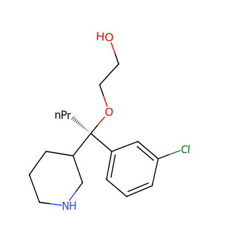 CCC[C@](OCCO)(c1cccc(Cl)c1)C1CCCNC1